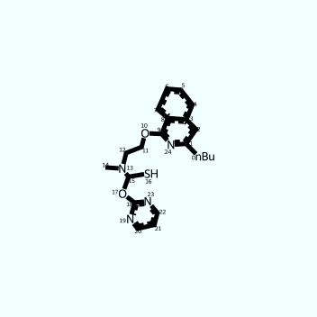 CCCCc1cc2ccccc2c(OCCN(C)C(S)Oc2ncccn2)n1